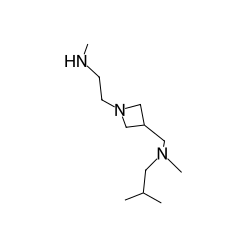 CNCCN1CC(CN(C)CC(C)C)C1